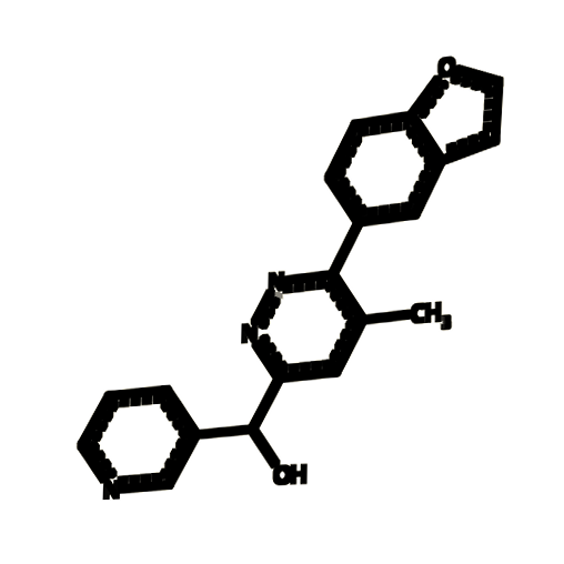 Cc1cc(C(O)c2cccnc2)nnc1-c1ccc2occc2c1